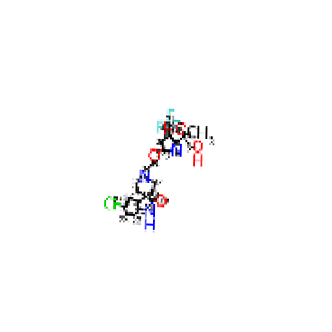 C[C@](O)(CO)c1ncc(OCCN2CCC3(CC2)C(=O)Nc2ccc(Cl)cc23)cc1C(F)(F)F